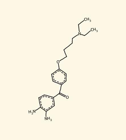 CCN(CC)CCCCOc1ccc(C(=O)c2ccc(N)c(N)c2)cc1